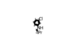 CC(C)CNc1cccc(Cl)c1